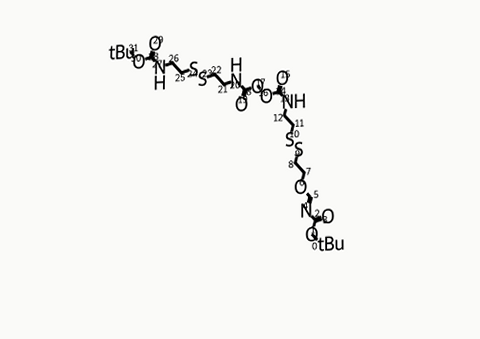 CC(C)(C)OC(=O)/N=C/OCCSSCCNC(=O)OOC(=O)NCCSSCCNC(=O)OC(C)(C)C